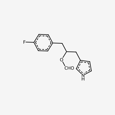 O=COC(Cc1ccc(F)cc1)Cc1cc[nH]c1